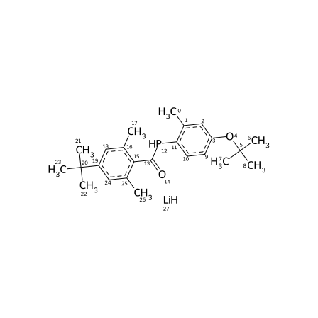 Cc1cc(OC(C)(C)C)ccc1PC(=O)c1c(C)cc(C(C)(C)C)cc1C.[LiH]